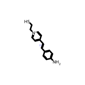 Nc1ccc(/C=C/c2cc[n+](CCS)cc2)cc1